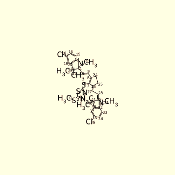 CSc1nnc(SC2=C(/C=C/C3=[N+](C)c4ccc(Cl)cc4C3(C)C)CC/C2=C\C=C2\N(C)c3ccc(Cl)cc3C2(C)C)s1